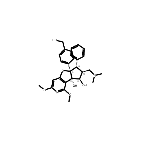 COc1cc2c(c(OC)n1)[C@]1(O)[C@H](O)[C@H](CN(C)C)[C@@H](c3ccccc3)[C@]1(c1ccc(CO)cc1)O2